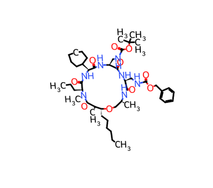 CCCCCC[C@H]1OC[C@@H](C)NC(=O)[C@H](CNC(=O)OCc2ccccc2)NC(=O)[C@H](CNC(=O)OC(C)(C)C)NC(=O)[C@H](C2CCCCCC2)NC(=O)[C@H](CCC)N(C)C(=O)[C@@H]1C